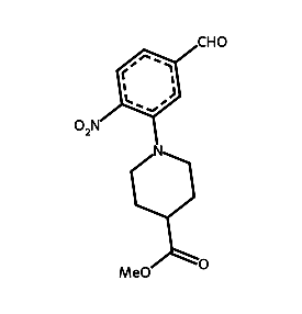 COC(=O)C1CCN(c2cc(C=O)ccc2[N+](=O)[O-])CC1